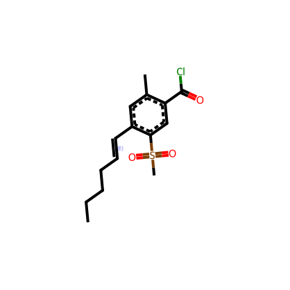 CCCC/C=C/c1cc(C)c(C(=O)Cl)cc1S(C)(=O)=O